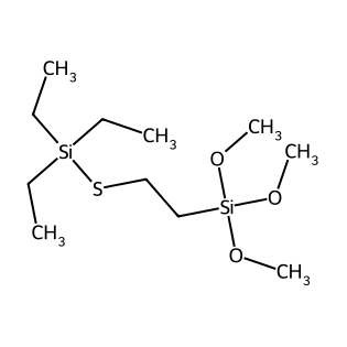 CC[Si](CC)(CC)SCC[Si](OC)(OC)OC